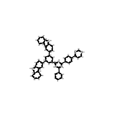 c1ccc(-c2nc(-c3ccc(-c4ccncn4)cc3)nc(-c3cc(-c4ccc5sc6ccccc6c5c4)cc(-c4ccc5sc6ccccc6c5c4)c3)n2)cc1